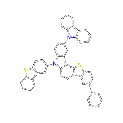 c1ccc(-c2ccc3sc4c(ccc5c4c4cc(-n6c7ccccc7c7ccccc76)ccc4n5-c4ccc5sc6ccccc6c5c4)c3c2)cc1